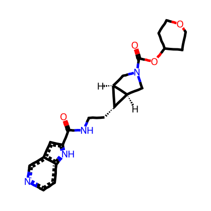 O=C(NCC[C@@H]1[C@H]2CN(C(=O)OC3CCOCC3)C[C@@H]12)c1cc2cnccc2[nH]1